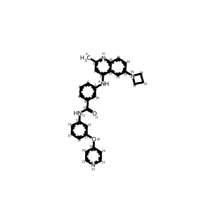 Cc1cc(Nc2cccc(C(=O)Nc3cccc(Oc4ccncc4)c3)c2)c2cc(N3CCC3)ccc2n1